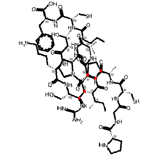 CC[C@H](C)[C@H](NC(=O)[C@@H]1CCCN1C(=O)[C@@H]1CCCN1C(=O)[C@@H](NC(=O)[C@H](CO)NC(=O)[C@H](CCCCN)NC(=O)[C@@H](NC(=O)[C@H](C)NC(=O)[C@H](CCCNC(=N)N)NC(=O)[C@H](C)NC(=O)[C@H](CS)NC(=O)CNC(=O)[C@@H]1CCCN1)[C@@H](C)O)[C@@H](C)CC)C(=O)N[C@@H](CS)C(=O)N[C@@H](Cc1ccccc1)C(=O)O